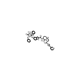 C[C@H](NP(=O)(Cc1ccc2sc(C(=O)N[C@H]3CCC[C@H]4CC[C@@H](C(=O)N5CC(c6cccnc6)C5)N4C3=O)cc2c1)Oc1ccccc1)C(=O)OCc1ccccc1